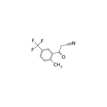 Cc1ccc(C(F)(F)F)cc1C(=O)CC#N